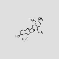 C=C1CCC2=C(C=C3c4nc5ccc(O)cc5c(CC)c4CN3C2=C)C1C